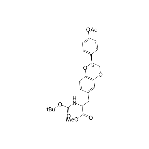 COC(=O)C(Cc1ccc2c(c1)OC[C@H](c1ccc(OC(C)=O)cc1)O2)NC(=O)OC(C)(C)C